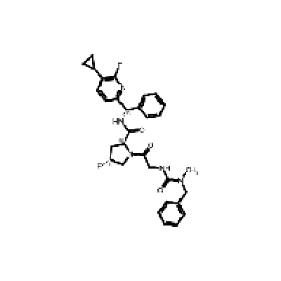 CN(Cc1ccccc1)C(=O)NCC(=O)N1C[C@H](F)C[C@H]1C(=O)N[C@@H](c1ccccc1)c1ccc(C2CC2)c(F)n1